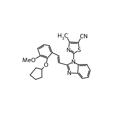 COc1cccc(C=Cc2nc3ccccc3n2-c2nc(C)c(C#N)s2)c1OC1CCCC1